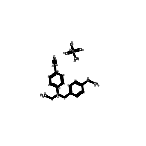 CCN(Cc1ccc(OC)cc1)c1ccc([N+]#N)cc1.O=S(=O)([O-])O